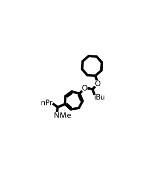 CCCC(NC)C1=CCC=C(OC(OC2CCCCCCC2)C(C)CC)C=C1